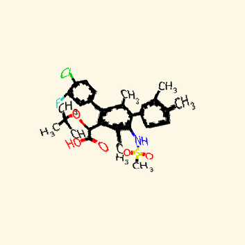 Cc1ccc(-c2c(C)c(-c3ccc(Cl)c(F)c3)c(C(OC(C)(C)C)C(=O)O)c(C)c2NS(C)(=O)=O)cc1C